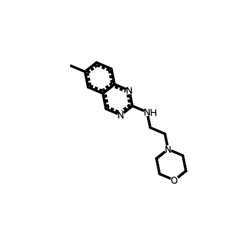 Cc1ccc2nc(NCCN3CCOCC3)ncc2c1